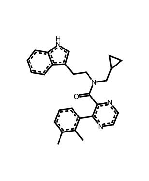 Cc1cccc(-c2nccnc2C(=O)N(CCc2c[nH]c3ccccc23)CC2CC2)c1C